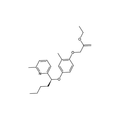 C=C(COc1ccc(O[C@@H](CCCC)c2cccc(C)n2)cc1C)OCC